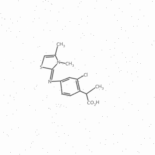 Cc1csc(=Nc2ccc(C(C)C(=O)O)c(Cl)c2)n1C